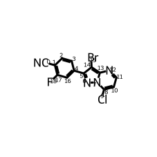 N#Cc1ccc(-c2nn3c(Cl)ccnc3c2Br)cc1F